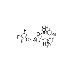 COc1ccc2ncc(CN)c([C@@H](F)CCC3(CC(=O)O)CCN(CCOc4cc(F)cc(F)c4F)CC3)c2c1